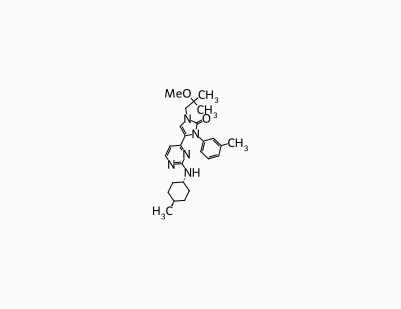 COC(C)(C)Cn1cc(-c2ccnc(N[C@H]3CC[C@H](C)CC3)n2)n(-c2cccc(C)c2)c1=O